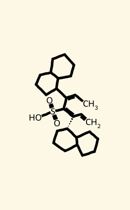 C=C/C(=C(\C(=C/C)C1CCCC2CCCCC21)S(=O)(=O)O)[C@H]1CCCC2CCCCC21